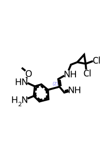 CONc1cc(/C(C=N)=C/NCC2CC2(Cl)Cl)ccc1N